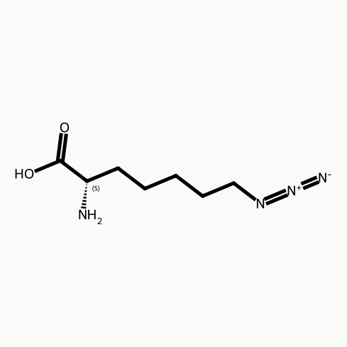 [N-]=[N+]=NCCCCC[C@H](N)C(=O)O